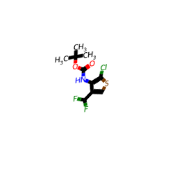 CC(C)(C)OC(=O)Nc1c(C(F)F)csc1Cl